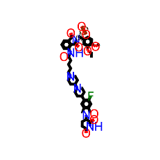 CCOc1cc([C@@H](CS(C)(=O)=O)N2C(=O)c3cccc(NC(=O)CCCCN4CCC(N5CCC(c6cc7c(cc6F)C(=O)N(C6CCC(=O)NC6=O)C7)CC5)CC4)c3C2=O)ccc1OC